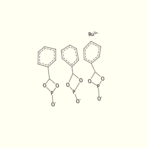 [O-]P1OC(c2ccccc2)O1.[O-]P1OC(c2ccccc2)O1.[O-]P1OC(c2ccccc2)O1.[Ru+3]